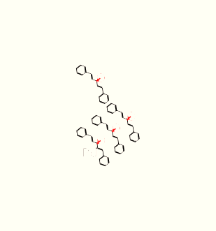 O=C(C=Cc1ccccc1)C=Cc1ccccc1.O=C(C=Cc1ccccc1)C=Cc1ccccc1.O=C(C=Cc1ccccc1)C=Cc1ccccc1.O=C(C=Cc1ccccc1)C=Cc1ccccc1.[Pd]